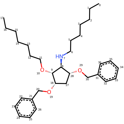 CCCCCCCN[C@@H]1[C@@H](OCCCCCCC)[C@@H](OCc2ccccc2)C[C@H]1OCc1ccccc1